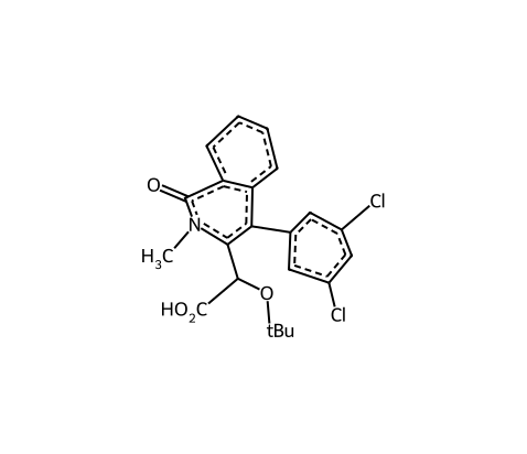 Cn1c(C(OC(C)(C)C)C(=O)O)c(-c2cc(Cl)cc(Cl)c2)c2ccccc2c1=O